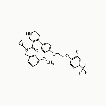 COc1cccc(CN(C(=O)C2=C(c3ccc(OCCOc4ccc(C(F)(F)F)cc4Cl)cc3)CCNC2)C2CC2)c1